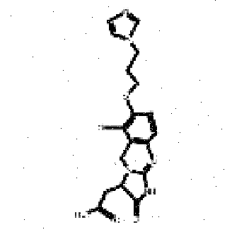 O=C(O)CC1C(=O)NC2=Nc3ccc(OCCCn4ccnc4)c(Cl)c3CN21